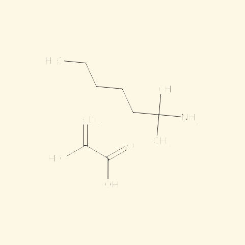 C=C(C)C(=O)O.CCCCCC(C)(C)N